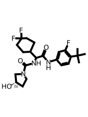 CC(C)(C)c1ccc(NC(=O)C(NC(=O)N2CC[C@H](O)C2)C2CCC(F)(F)CC2)cc1F